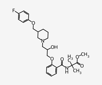 COC(=O)C(C)(C)NC(=O)c1ccccc1OCC(O)CN1CCCC(COc2ccc(F)cc2)C1